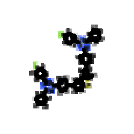 Fc1ccc(-c2nc(-c3ccccc3)nc(-c3ccc(-c4ccc5sc6ccc(-c7ccc(-c8nc(-c9ccccc9)nc(-c9ccc(F)cc9)n8)cc7)cc6c5c4)cc3)n2)cc1